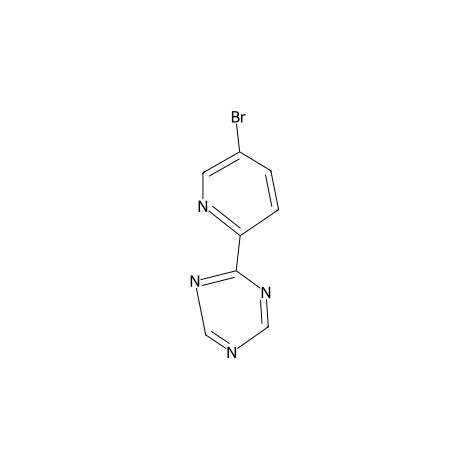 Brc1ccc(-c2ncncn2)nc1